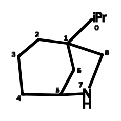 CC(C)C12CCCC(C1)NC2